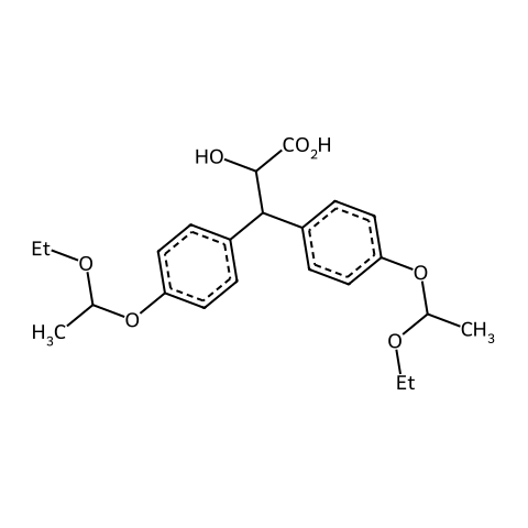 CCOC(C)Oc1ccc(C(c2ccc(OC(C)OCC)cc2)C(O)C(=O)O)cc1